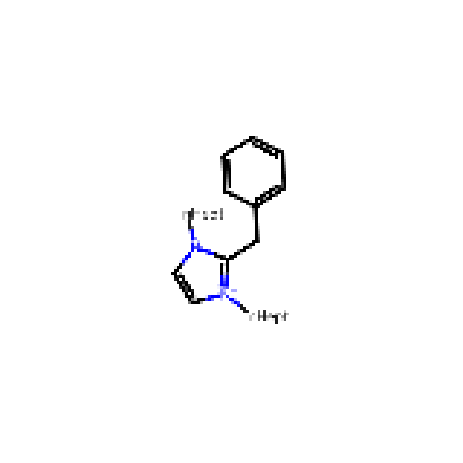 CCCCCCCn1cc[n+](CCCCCCC)c1Cc1ccccc1